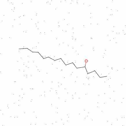 CCCCCCCCCCCC([O])CCCC